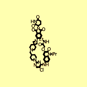 CCNC(=O)COc1cc2cc(Nc3nc(N4CCC(CN5CCC6(CC5)CN(c5ccc7c(c5)C(=O)N(C5CCC(=O)NC5=O)C7=O)C6)CC4)ncc3Cl)ccc2n(C(C)C)c1=O